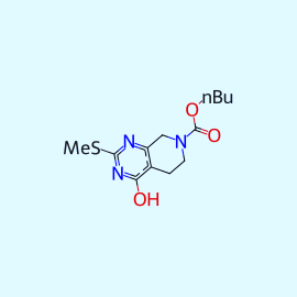 CCCCOC(=O)N1CCc2c(O)nc(SC)nc2C1